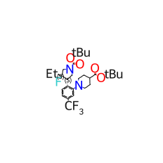 CC[C@@]1(F)CN(C(=O)OC(C)(C)C)C[C@@H]1c1ccc(C(F)(F)F)cc1N1CCC(C(=O)OC(C)(C)C)CC1